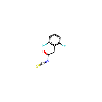 O=C(Cc1c(F)cccc1F)N=C=S